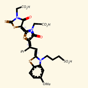 COc1ccc2c(c1)N(CCCS(=O)(=O)O)/C(=C/C(=c1/s/c(=C3\SC(=S)N(CC(=O)O)C3=O)n(CC(=O)O)c1=O)C(C)C)S2